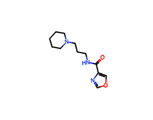 O=C(NCCCN1CCCCC1)c1cocn1